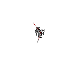 CCCCCCCCCCCCOC(=O)CCNC(=N)NCCCC(NCCC(=O)OCCCCCCCCCCCC)C(C)=O